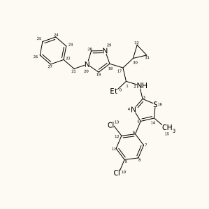 CCC(Nc1nc(-c2ccc(Cl)cc2Cl)c(C)s1)C(c1cn(Cc2ccccc2)cn1)C1CC1